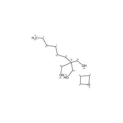 C1COC1.CCCCCCC(CO)(CO)CO